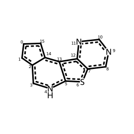 c1cc2c[nH]c3sc4cncnc4c3c-2c1